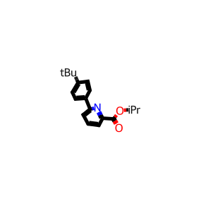 CC(C)OC(=O)c1cccc(-c2ccc(C(C)(C)C)cc2)n1